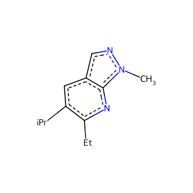 CCc1nc2c(cnn2C)cc1C(C)C